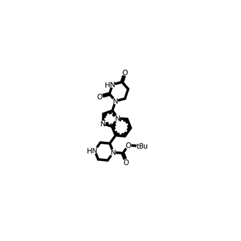 CC(C)(C)OC(=O)N1CCNCC1c1cccn2c(N3CCC(=O)NC3=O)cnc12